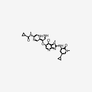 CN(C(=O)C1CC1)C1=CN/C(=C(\C=N)Oc2cnc3nc(Nc4cc(C5CC5)cn(C)c4=O)n(C)c3c2Cl)C=N1